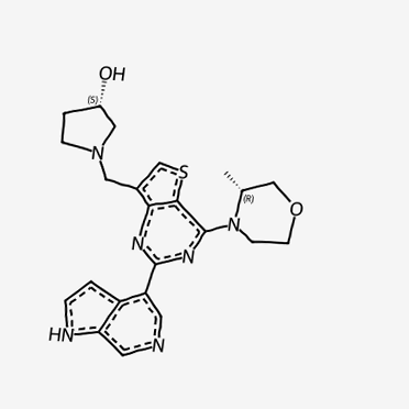 C[C@@H]1COCCN1c1nc(-c2cncc3[nH]ccc23)nc2c(CN3CC[C@H](O)C3)csc12